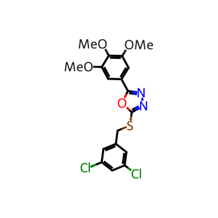 COc1cc(-c2nnc(SCc3cc(Cl)cc(Cl)c3)o2)cc(OC)c1OC